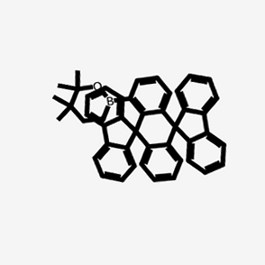 CC1(C)CCB(c2cccc3c2C2(c4ccccc4-c4ccccc42)c2ccccc2C32c3ccccc3-c3ccccc32)OC1(C)C